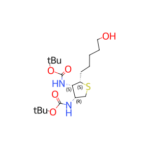 CC(C)(C)OC(=O)N[C@H]1[C@@H](NC(=O)OC(C)(C)C)CS[C@H]1CCCCCO